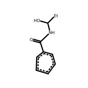 CCC(O)NC(=O)c1ccccc1